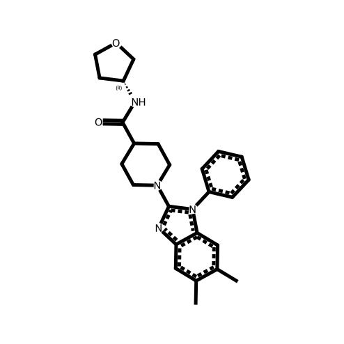 Cc1cc2nc(N3CCC(C(=O)N[C@@H]4CCOC4)CC3)n(-c3ccccc3)c2cc1C